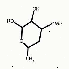 COC1CC(C)OC(O)C1O